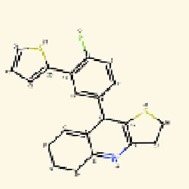 Fc1ccc(C2C3=CCCCC3=NC3=C2SCC3)cc1-c1cccs1